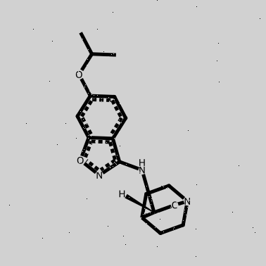 CC(C)Oc1ccc2c(N[C@@H]3CN4CCC3CC4)noc2c1